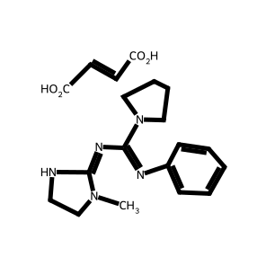 CN1CCNC1=NC(=Nc1ccccc1)N1CCCC1.O=C(O)C=CC(=O)O